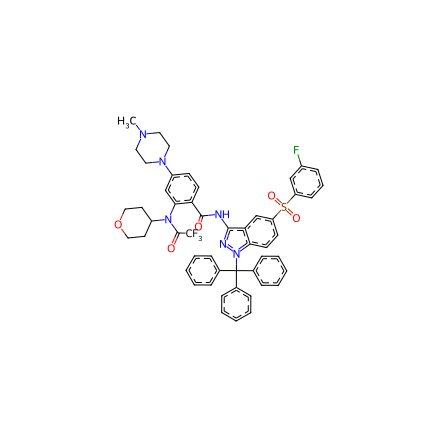 CN1CCN(c2ccc(C(=O)Nc3nn(C(c4ccccc4)(c4ccccc4)c4ccccc4)c4ccc(S(=O)(=O)c5cccc(F)c5)cc34)c(N(C(=O)C(F)(F)F)C3CCOCC3)c2)CC1